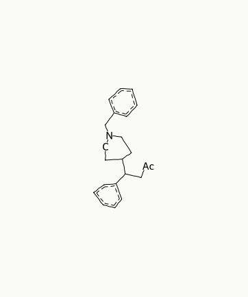 CC(=O)CC(c1ccccc1)C1CCN(Cc2ccccc2)CC1